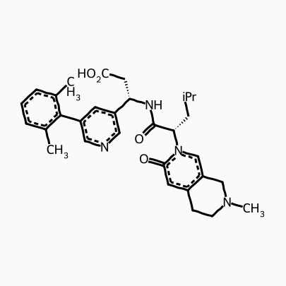 Cc1cccc(C)c1-c1cncc([C@H](CC(=O)O)NC(=O)[C@H](CC(C)C)n2cc3c(cc2=O)CCN(C)C3)c1